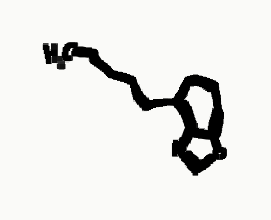 CCCCCc1cccc2o[c]nc12